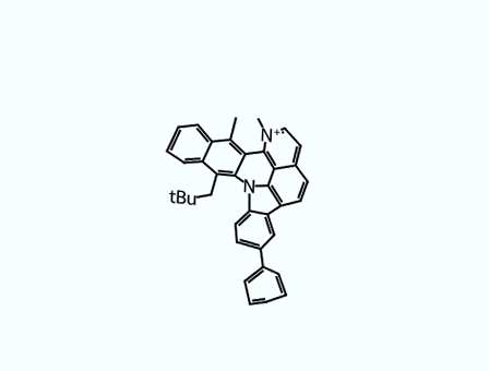 Cc1c2ccccc2c(CC(C)(C)C)c2c1c1c3c(ccc4c5cc(-c6ccccc6)ccc5n2c43)cc[n+]1C